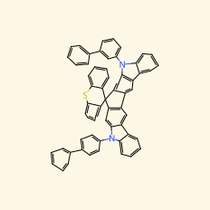 c1ccc(-c2ccc(-n3c4ccccc4c4cc5c(cc43)C3(c4ccccc4Sc4ccccc43)c3cc4c(cc3-5)c3ccccc3n4-c3cccc(-c4ccccc4)c3)cc2)cc1